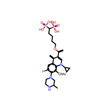 C=C(OCCCCC(P(=O)(O)O)P(=O)(O)O)C1=CN(C2CC2)c2c(cc(F)c(N3CCNC(C)C3)c2OC)C1=C